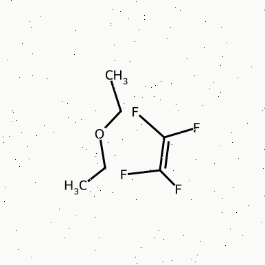 CCOCC.FC(F)=C(F)F